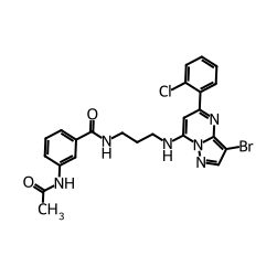 CC(=O)Nc1cccc(C(=O)NCCCNc2cc(-c3ccccc3Cl)nc3c(Br)cnn23)c1